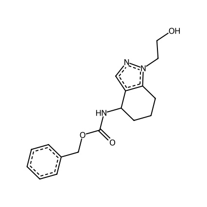 O=C(NC1CCCc2c1cnn2CCO)OCc1ccccc1